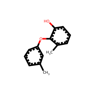 Cc1cccc(Oc2c(C)cccc2O)c1